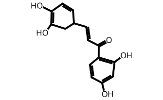 O=C(C=CC1C=CC(O)=C(O)C1)c1ccc(O)cc1O